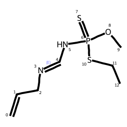 C=CC/N=C/NP(=S)(OC)SCC